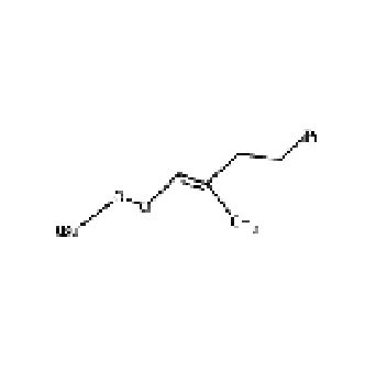 C/C(=C\OOC(C)(C)C)CCC(C)C